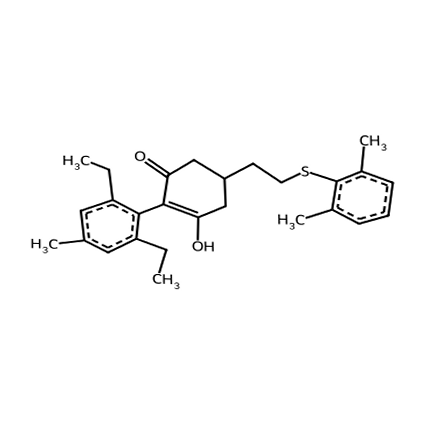 CCc1cc(C)cc(CC)c1C1=C(O)CC(CCSc2c(C)cccc2C)CC1=O